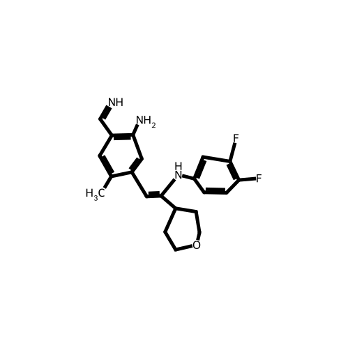 Cc1cc(C=N)c(N)cc1/C=C(\Nc1ccc(F)c(F)c1)C1CCOCC1